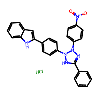 Cl.O=[N+]([O-])c1ccc(N2N=C(c3ccccc3)NN2c2ccc(-c3cc4ccccc4[nH]3)cc2)cc1